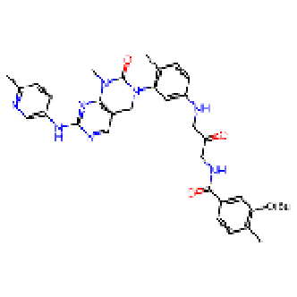 Cc1ccc(Nc2ncc3c(n2)N(C)C(=O)N(c2cc(NCC(=O)CNC(=O)c4ccc(C)c(OCC(C)C)c4)ccc2C)C3)cn1